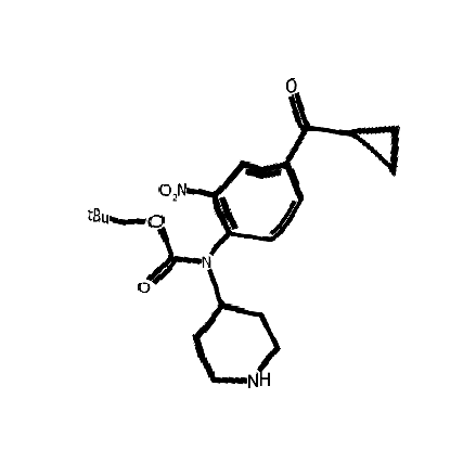 CC(C)(C)OC(=O)N(c1ccc(C(=O)C2CC2)cc1[N+](=O)[O-])C1CCNCC1